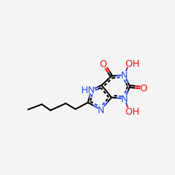 CCCCCc1nc2c([nH]1)c(=O)n(O)c(=O)n2O